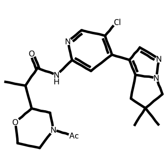 CC(=O)N1CCOC(C(C)C(=O)Nc2cc(-c3cnn4c3CC(C)(C)C4)c(Cl)cn2)C1